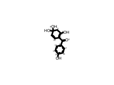 O=C(C1=C(O)CC(O)(O)C=C1)c1ccc(O)cc1